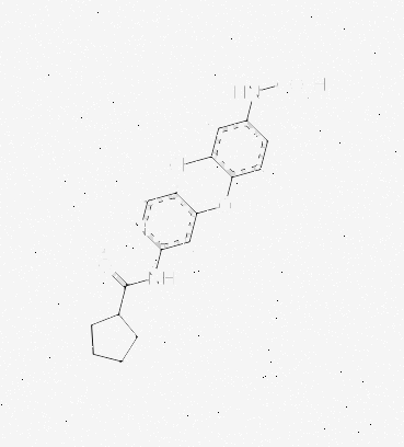 O=C(O)Nc1ccc(Oc2ccnc(NC(=O)C3CCCC3)c2)c(Cl)c1